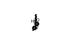 CCCCC(=O)Nc1cccc(-c2ccc(C)cc2F)n1